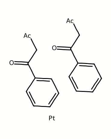 CC(=O)CC(=O)c1ccccc1.CC(=O)CC(=O)c1ccccc1.[Pt]